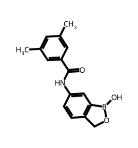 Cc1cc(C)cc(C(=O)Nc2ccc3c(c2)B(O)OC3)c1